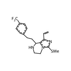 C=Cc1nc(SC)n2c1C(CCc1ccc(C(F)(F)F)cc1)NCC2